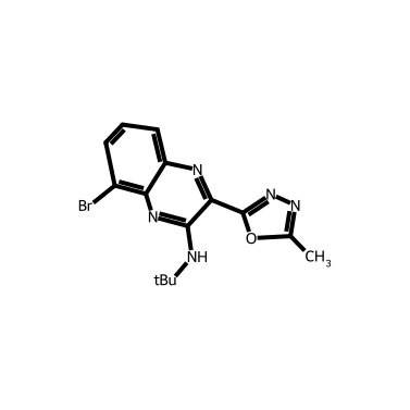 Cc1nnc(-c2nc3cccc(Br)c3nc2NC(C)(C)C)o1